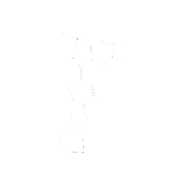 O[P]1(Cc2ccc(Nc3nc(Cl)ncc3C(F)(F)F)cc2)OCCCO1